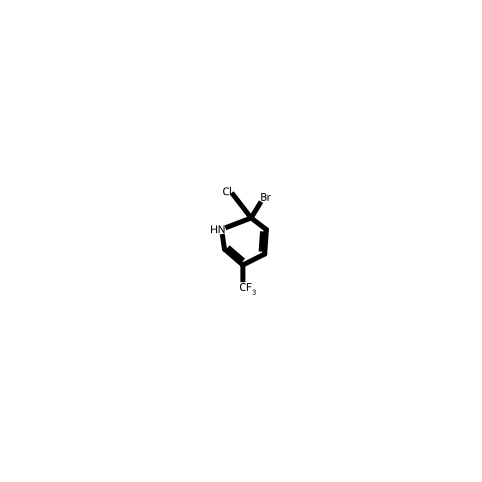 FC(F)(F)C1=CNC(Cl)(Br)C=C1